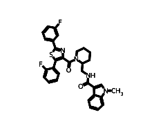 Cn1cc(C(=O)NCC2CCCCN2C(=O)c2nc(-c3cccc(F)c3)sc2-c2ccccc2F)c2ccccc21